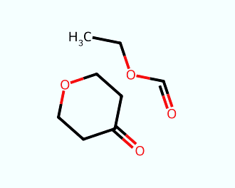 CCOC=O.O=C1CCOCC1